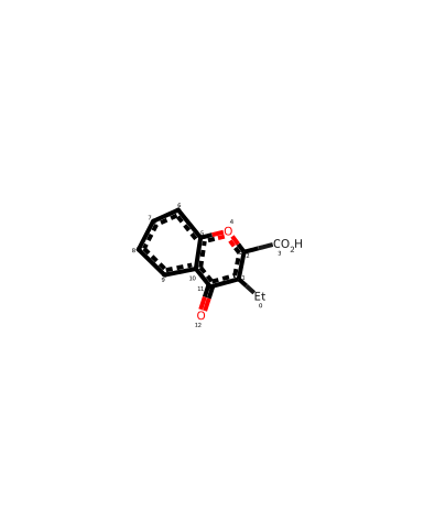 CCc1c(C(=O)O)oc2ccccc2c1=O